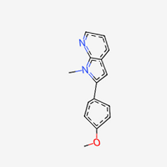 COc1ccc(-c2cc3cccnc3n2C)cc1